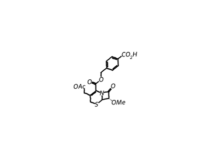 CO[C@H]1C(=O)N2C(C(=O)OCc3ccc(C(=O)O)cc3)=C(COC(C)=O)CSC12